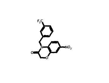 O=C1COc2cc([N+](=O)[O-])ccc2N1Cc1cccc(C(F)(F)F)c1